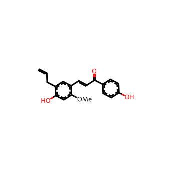 C=CCc1cc(C=CC(=O)c2ccc(O)cc2)c(OC)cc1O